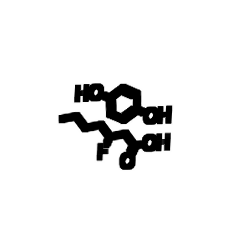 CCCCC(F)CC(=O)O.Oc1ccc(O)cc1